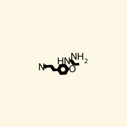 CC1=C(N)Nc2cc(C=CC#N)ccc2O1